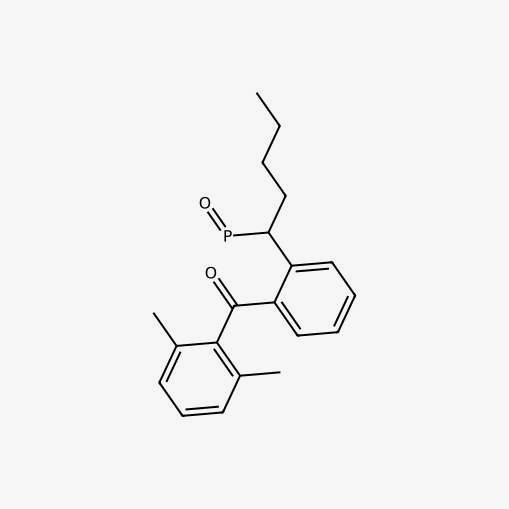 CCCCC(P=O)c1ccccc1C(=O)c1c(C)cccc1C